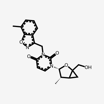 Cc1cccc2c(Cn3c(=O)ccn([C@@H]4OC5(CO)CC5[C@@H]4C)c3=O)noc12